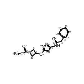 CC(C)(C)OC(=O)N1CC(Oc2nnc(NC(=O)Cc3ccccc3)s2)C1